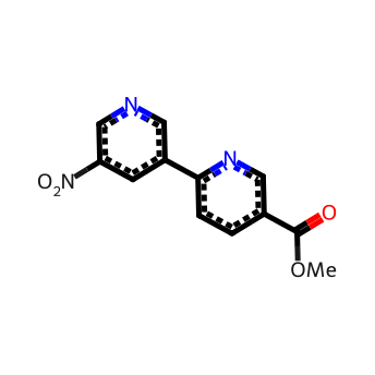 COC(=O)c1ccc(-c2cncc([N+](=O)[O-])c2)nc1